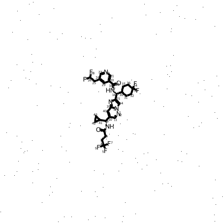 O=C(CCC(F)(F)F)N[C@@H](c1cnn2cc([C@@H](NC(=O)c3cncc(CC(F)F)c3)C3CCC(F)(F)CC3)nc2c1)C1CC1